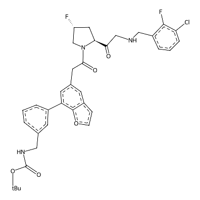 CC(C)(C)OC(=O)NCc1cccc(-c2cc(CC(=O)N3C[C@H](F)C[C@H]3C(=O)CNCc3cccc(Cl)c3F)cc3ccoc23)c1